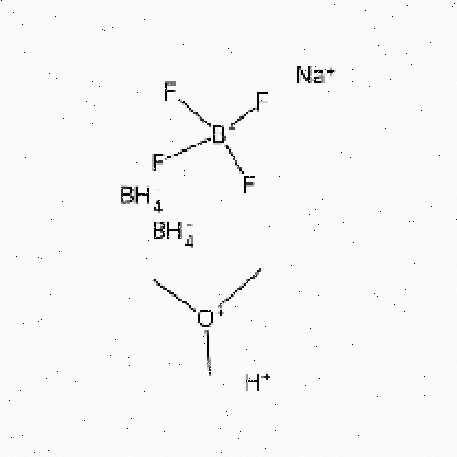 C[O+](C)C.F[B-](F)(F)F.[BH4-].[BH4-].[H+].[Na+]